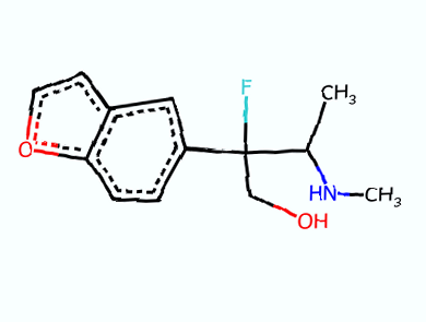 CNC(C)C(F)(CO)c1ccc2occc2c1